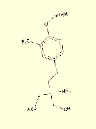 CCCCCCCOc1ccc(CCC(N)(CO)COC(C)=O)cc1C(F)(F)F